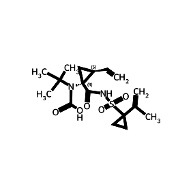 C=C[C@@H]1C[C@@]1(C(=O)NS(=O)(=O)C1(C(=C)C)CC1)N(C(=O)O)C(C)(C)C